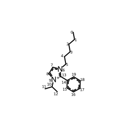 CCCCCCn1cc[n+](C(C)C)c1-c1ccccc1